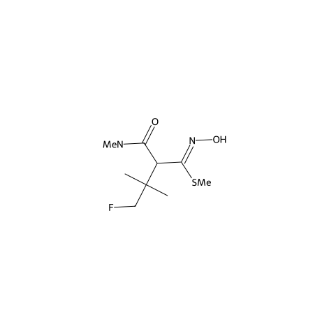 CNC(=O)C(C(=NO)SC)C(C)(C)CF